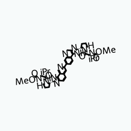 COC(=O)N[C@H](C(=O)N1CCC[C@H]1c1nc2ccc3cc(-c4ccc5c(c4)ncc4nc([C@@H]6CCCN6C(=O)[C@@H](NC(=O)OC)C(C)C)[nH]c45)ncc3c2[nH]1)C(C)C